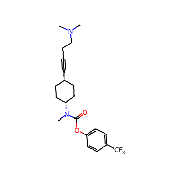 CN(C)CCC#C[C@H]1CC[C@H](N(C)C(=O)Oc2ccc(C(F)(F)F)cc2)CC1